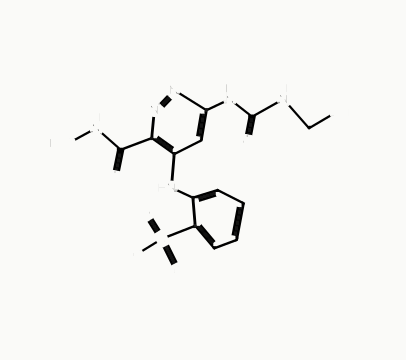 CCNC(=O)Nc1cc(Nc2ccccc2S(C)(=O)=O)c(C(=O)NC)nn1